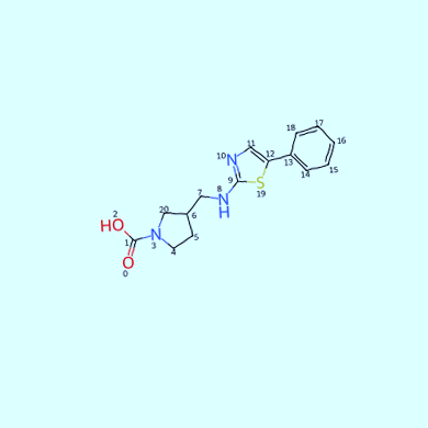 O=C(O)N1CCC(CNc2ncc(-c3ccccc3)s2)C1